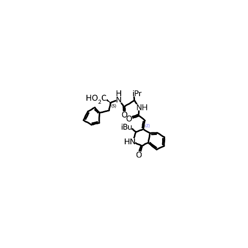 CCC(C)C1NC(=O)c2ccccc2/C1=C/C(=O)NC(C(=O)N[C@@H](Cc1ccccc1)C(=O)O)C(C)C